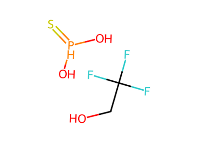 OCC(F)(F)F.O[PH](O)=S